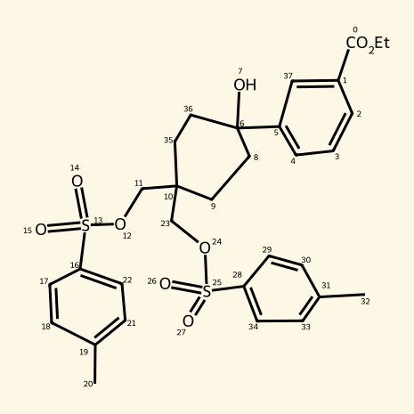 CCOC(=O)c1cccc(C2(O)CCC(COS(=O)(=O)c3ccc(C)cc3)(COS(=O)(=O)c3ccc(C)cc3)CC2)c1